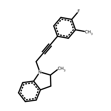 Cc1cc(C#CCN2c3ccccc3CC2C)ccc1F